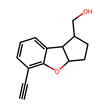 C#Cc1cccc2c1OC1CCC(CO)C21